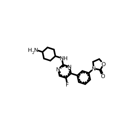 NC1CCC(Nc2ncc(F)c(-c3cccc(N4CCOC4=O)c3)n2)CC1